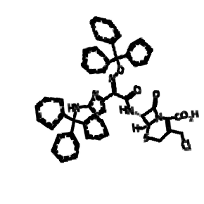 O=C(O)C1=C(CCl)CS[C@@H]2[C@H](NC(=O)/C(=N\OC(c3ccccc3)(c3ccccc3)c3ccccc3)c3csc(NC(c4ccccc4)(c4ccccc4)c4ccccc4)n3)C(=O)N12